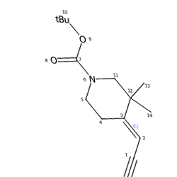 C#C/C=C1\CCN(C(=O)OC(C)(C)C)CC1(C)C